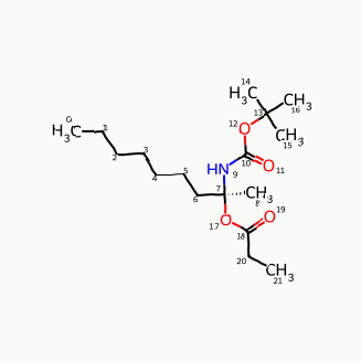 CCCCCCC[C@@](C)(NC(=O)OC(C)(C)C)OC(=O)CC